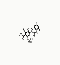 COC(=O)c1c(OC)c(=O)c(C(=O)N[C@H](C)c2ccc(F)cc2F)cn1CC(O)O